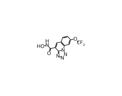 O=C(NO)c1cc2ccc(OC(F)(F)F)cc2n2nnnc12